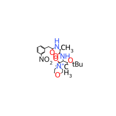 C[C@H](NC(=O)Cc1cccc([N+](=O)[O-])c1)C(=O)NC(C(=O)[N+]1CCOCC1)[C@H](C)OC(C)(C)C